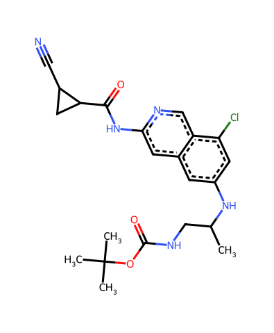 CC(CNC(=O)OC(C)(C)C)Nc1cc(Cl)c2cnc(NC(=O)C3CC3C#N)cc2c1